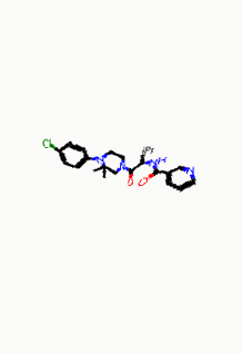 CC(C)C(NC(=O)c1cccnc1)C(=O)N1CCN(c2ccc(Cl)cc2)C(C)(C)C1